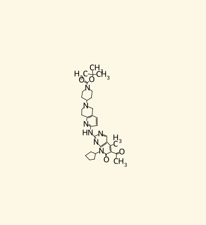 CC(=O)c1c(C)c2cnc(Nc3ccc4c(n3)CCN(C3CCN(C(=O)OC(C)(C)C)CC3)C4)nc2n(C2CCCC2)c1=O